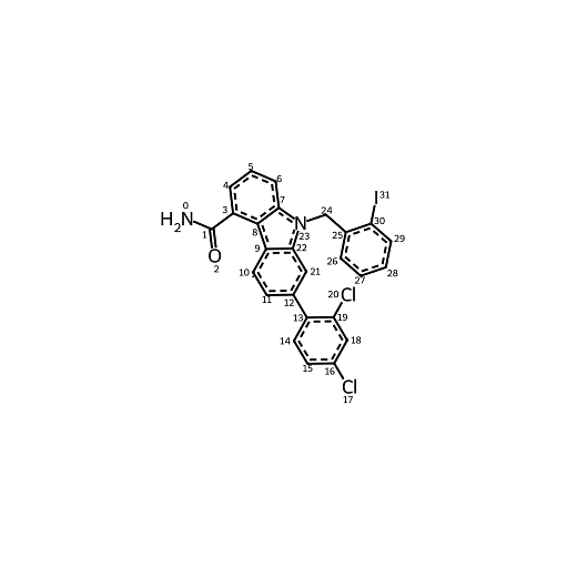 NC(=O)c1cccc2c1c1[c]cc(-c3ccc(Cl)cc3Cl)cc1n2Cc1ccccc1I